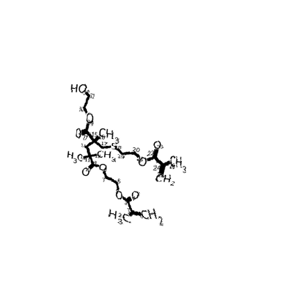 C=C(C)C(=O)OCCOC(=O)C(C)(C)CC(C)(CSCCOC(=O)C(=C)C)C(=O)OCCO